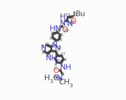 CN(C)CC(=O)Nc1ccc(-c2nn(-c3ccc(NC(=O)Nc4cc(C(C)(C)C)on4)cc3)c3cncc(N)c23)cc1